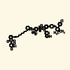 CC1(C)CCC(CN2CCN(c3ccc(C(=O)NS(=O)(=O)c4ccc(NCC5CCCN(CCCCCCCC#Cc6cccc7c6C(=O)N(C6CCC(=O)NC6=O)C7=O)C5)c([N+](=O)[O-])c4)c(Oc4cnc5[nH]ccc5c4)c3)CC2)=C(c2ccc(Cl)cc2)C1